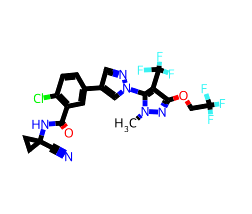 Cn1nc(OCC(F)(F)F)c(C(F)(F)F)c1-n1cc(-c2ccc(Cl)c(C(=O)NC3(C#N)CC3)c2)cn1